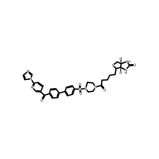 O=C1N[C@H]2CSC(CCCCC(=O)N3CCN(S(=O)(=O)c4ccc(-c5ccc(C(=O)c6ccc(-n7ccnc7)nc6)cc5)cc4)CC3)[C@H]2N1